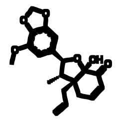 C=CC[C@]12CC=CC(=O)[C@@]1(O)O[C@H](c1cc(OC)c3c(c1)OCO3)[C@H]2C